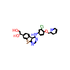 OC[C@H](O)c1ccc2c(c1)sc1ncnc(Nc3ccc(OCc4ccccn4)c(Cl)c3)c12